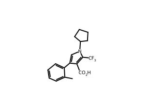 Cc1ccccc1-c1cn(C2CCCC2)c(C(F)(F)F)c1C(=O)O